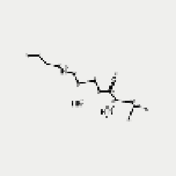 Br.CCCCNCCCCC(=O)[C@@H](N)CC(C)C